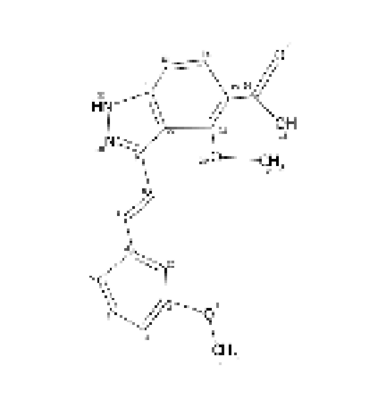 COc1cccc(C=Cc2n[nH]c3ccc(C(=O)O)c(OC)c23)c1